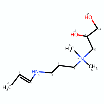 CC=CNCCC[N+](C)(C)CC(O)CO